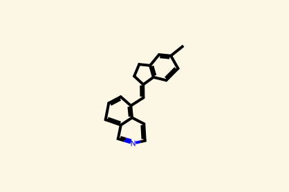 Cc1ccc2c(c1)CCC2=Cc1cccc2cnccc12